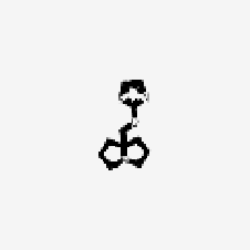 c1csc(OCC23CCCN2CCC3)n1